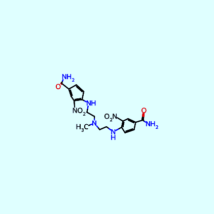 CN(CCNc1ccc(C(N)=O)cc1[N+](=O)[O-])CCNc1ccc(C(N)=O)cc1[N+](=O)[O-]